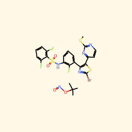 CC(C)(C)ON=O.CSc1nccc(-c2sc(Br)nc2-c2cccc(NS(=O)(=O)c3c(F)cccc3F)c2F)n1